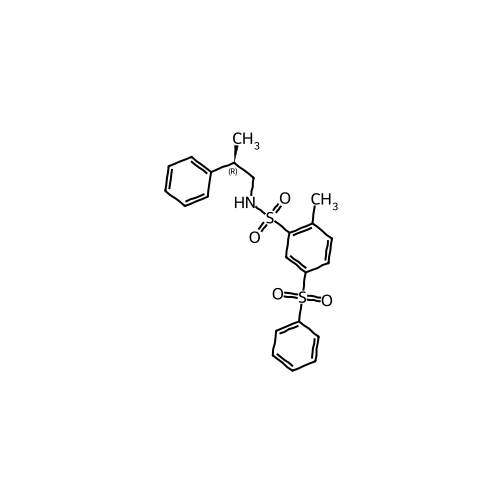 Cc1ccc(S(=O)(=O)c2ccccc2)cc1S(=O)(=O)NC[C@H](C)c1ccccc1